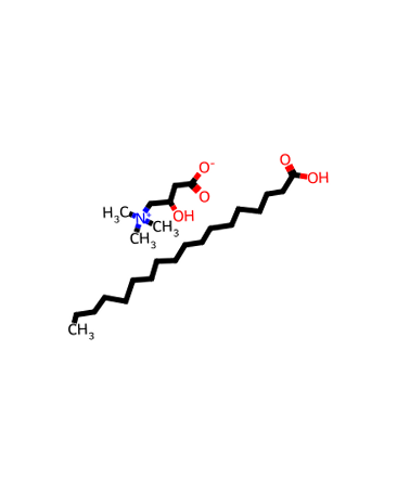 CCCCCCCCCCCCCCCCCC(=O)O.C[N+](C)(C)CC(O)CC(=O)[O-]